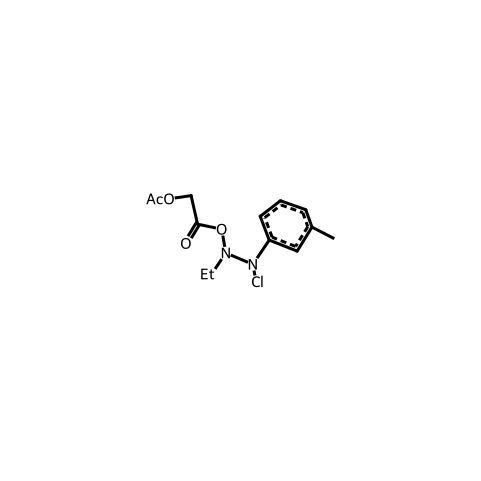 CCN(OC(=O)COC(C)=O)N(Cl)c1cccc(C)c1